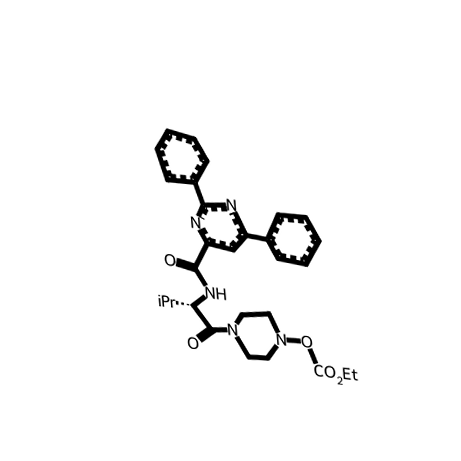 CCOC(=O)ON1CCN(C(=O)[C@@H](NC(=O)c2cc(-c3ccccc3)nc(-c3ccccc3)n2)C(C)C)CC1